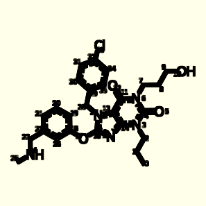 CCCn1c(=O)n(CCCO)c(=O)c2c1nc(Oc1cccc(CNC)c1)n2Cc1ccc(Cl)cc1